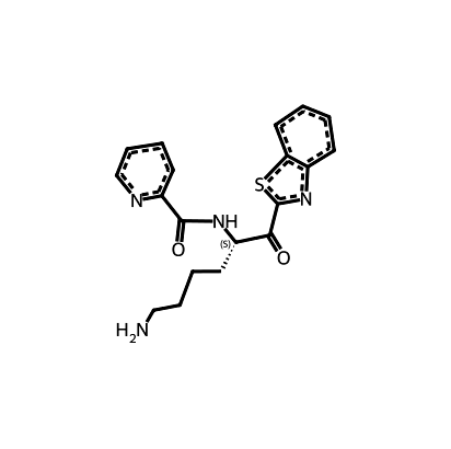 NCCCC[C@H](NC(=O)c1ccccn1)C(=O)c1nc2ccccc2s1